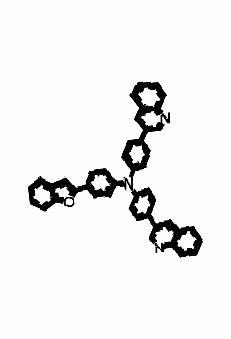 c1ccc2ncc(-c3ccc(N(c4ccc(-c5cnc6ccccc6c5)cc4)c4ccc(-c5cc6ccccc6o5)cc4)cc3)cc2c1